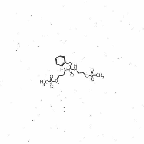 CS(=O)(=O)OCCNP(=O)(NCCOS(C)(=O)=O)Oc1ccccc1